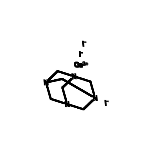 C1N2CN3CN1CN(C2)C3.[Ga+3].[I-].[I-].[I-]